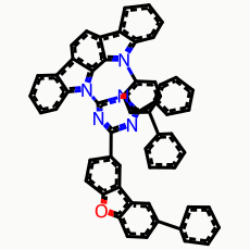 c1ccc(-c2ccc(-n3c4ccccc4c4ccc5c6ccccc6n(-c6nc(-c7ccccc7)nc(-c7ccc8oc9ccc(-c%10ccccc%10)cc9c8c7)n6)c5c43)cc2)cc1